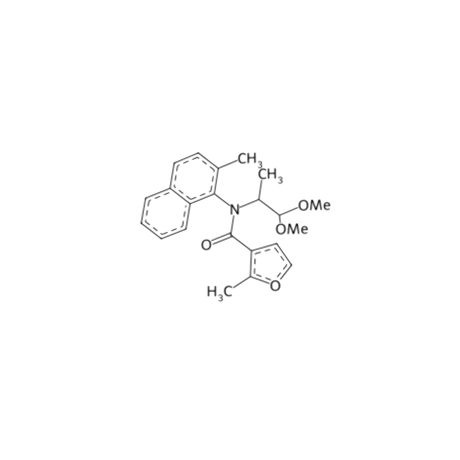 COC(OC)C(C)N(C(=O)c1ccoc1C)c1c(C)ccc2ccccc12